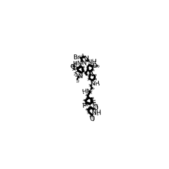 CCc1cc(Nc2ncc(Br)c(Nc3ccc4nc(C)sc4c3P(C)(C)=O)n2)c(OC)cc1N1CCC(NCCNCCc2cc(F)c([C@H]3CCC(=O)NC3=O)c(F)c2)CC1